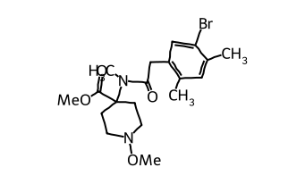 COC(=O)C1(N(C)C(=O)Cc2cc(Br)c(C)cc2C)CCN(OC)CC1